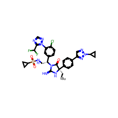 CC(C)(C)C[C@]1(c2ccc(-c3cnn(C4CC4)n3)cc2)NC(=N)N([C@H](CNS(=O)(=O)C2CC2)c2ccc(Cl)c(-n3ncnc3C(F)F)c2)C1=O